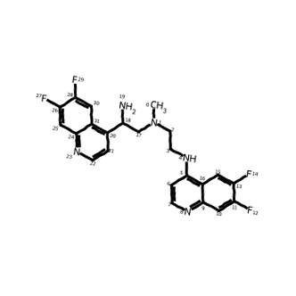 CN(CCNc1ccnc2cc(F)c(F)cc12)CC(N)c1ccnc2cc(F)c(F)cc12